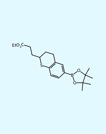 CCOC(=O)CCC1CCc2cc(B3OC(C)(C)C(C)(C)O3)ccc2S1